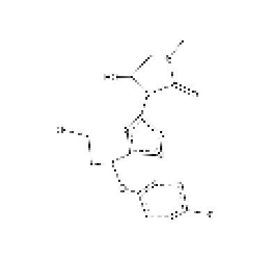 CN1CC(O)N(c2nnc(C(CCCl)Oc3ccc(Cl)cc3)s2)C1=O